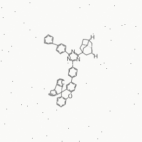 c1ccc(-c2ccc(-c3nc(-c4ccc(-c5ccc6c(c5)C5(c7ccccc7O6)c6ccccc6-c6ccccc65)cc4)nc(C45CC6C[C@@H]7C[C@H](C4)C[C@]67C5)n3)cc2)cc1